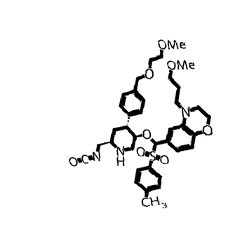 COCCCN1CCOc2ccc(C(O[C@H]3CN[C@@H](CN=C=O)C[C@@H]3c3ccc(COCCOC)cc3)S(=O)(=O)c3ccc(C)cc3)cc21